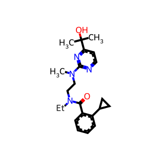 CCN(CCN(C)c1nccc(C(C)(C)O)n1)C(=O)c1ccccc1C1CC1